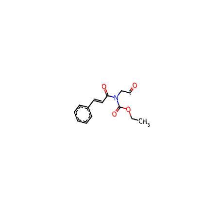 CCOC(=O)N(C[C]=O)C(=O)C=Cc1ccccc1